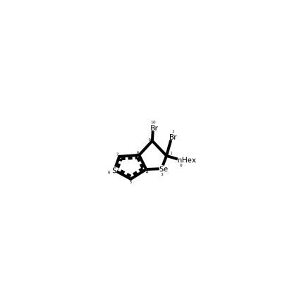 CCCCCCC1(Br)[Se]c2cscc2C1Br